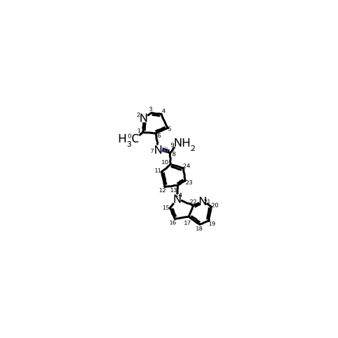 Cc1ncccc1/N=C(\N)c1ccc(-n2ccc3cccnc32)cc1